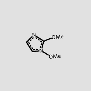 COc1nccn1OC